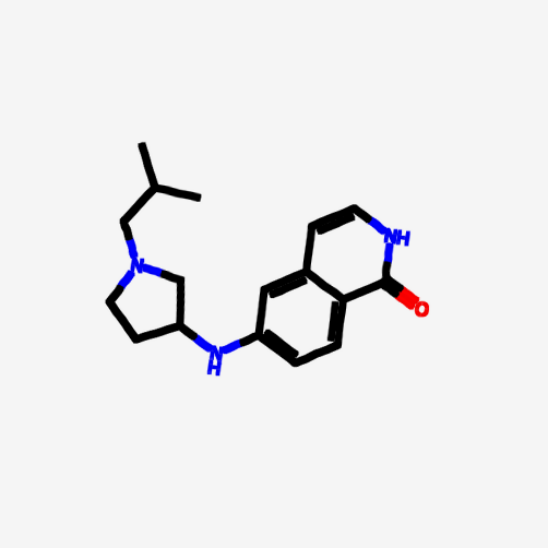 CC(C)CN1CCC(Nc2ccc3c(=O)[nH]ccc3c2)C1